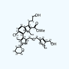 COC(=O)c1c(CCCO)c2ccc(Cl)c(-c3c(COCc4cc(CO)n(C)n4)nn(C4CCCCO4)c3C)c2n1C